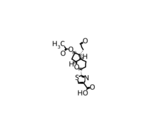 CC(=O)O[C@@H]1C[C@@H]2O[C@@H](c3nc(C(=O)O)cs3)CC[C@@H]2[C@H]1CC=O